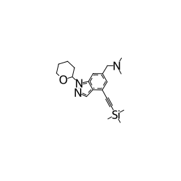 CN(C)Cc1cc(C#C[Si](C)(C)C)c2cnn(C3CCCCO3)c2c1